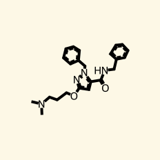 CN(C)CCCOc1cc(C(=O)NCc2ccccc2)n(Cc2ccccc2)n1